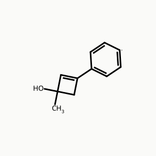 CC1(O)C=C(c2cc[c]cc2)C1